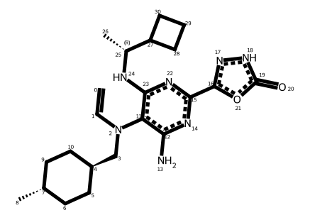 C=CN(C[C@H]1CC[C@H](C)CC1)c1c(N)nc(-c2n[nH]c(=O)o2)nc1N[C@H](C)C1CCC1